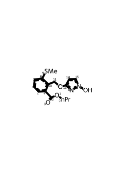 CCCOC(=O)c1cccc(SC)c1COc1ccn(O)n1